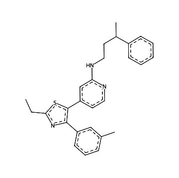 CCc1nc(-c2cccc(C)c2)c(-c2ccnc(NCCC(C)c3ccccc3)c2)s1